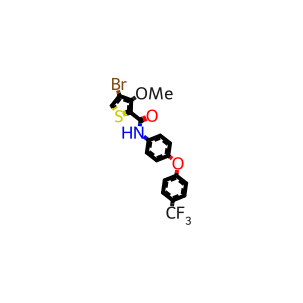 COc1c(Br)csc1C(=O)Nc1ccc(Oc2ccc(C(F)(F)F)cc2)cc1